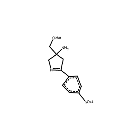 CCCCCCCCc1ccc(C2=NCC(N)(COC)C2)cc1